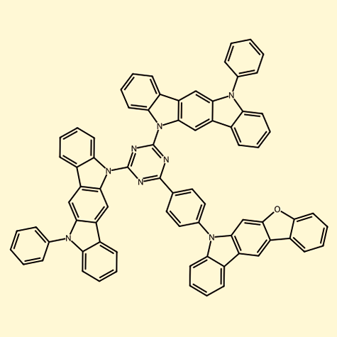 c1ccc(-n2c3ccccc3c3cc4c(cc32)c2ccccc2n4-c2nc(-c3ccc(-n4c5ccccc5c5cc6c(cc54)oc4ccccc46)cc3)nc(-n3c4ccccc4c4cc5c(cc43)c3ccccc3n5-c3ccccc3)n2)cc1